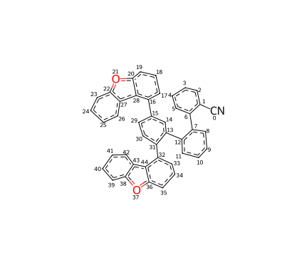 N#Cc1ccccc1-c1ccccc1-c1cc(-c2cccc3oc4ccccc4c23)ccc1-c1cccc2oc3ccccc3c12